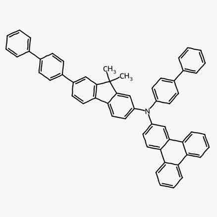 CC1(C)c2cc(-c3ccc(-c4ccccc4)cc3)ccc2-c2ccc(N(c3ccc(-c4ccccc4)cc3)c3ccc4c5ccccc5c5ccccc5c4c3)cc21